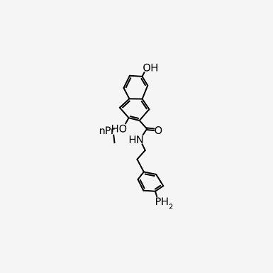 CCCC.O=C(NCCc1ccc(P)cc1)c1cc2cc(O)ccc2cc1O